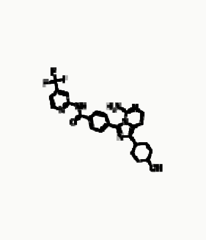 Nc1nccc2c(C3CCC(O)CC3)nc(-c3ccc(C(=O)Nc4cc(C(F)(F)F)ccn4)cc3)n12